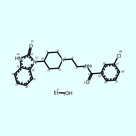 CCO.O=C(NCCN1CCC(n2c(=O)[nH]c3ccccc32)CC1)c1cccc(Cl)c1